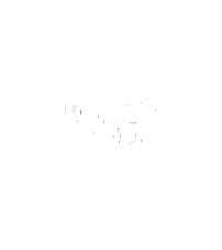 c1nc2c(c(N3CCNCC3)n1)SCC2